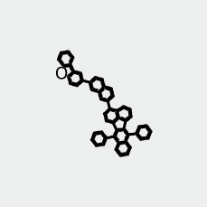 c1ccc(-c2c3c(c(-c4ccccc4)c4ccccc24)-c2ccc(-c4ccc5ccc(-c6ccc7oc8ccccc8c7c6)cc5c4)c4cccc-3c24)cc1